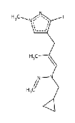 C=NN(/C=C(\C)Cc1cn(C)nc1I)CC1CC1